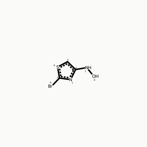 ONc1csc(Br)n1